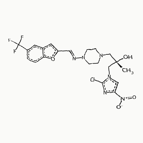 C[C@](O)(CN1CCN(/N=C/c2cc3cc(C(F)(F)F)ccc3o2)CC1)Cn1cc([N+](=O)[O-])nc1Cl